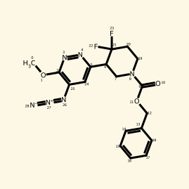 COc1nnc(C2CN(C(=O)OCc3ccccc3)CCC2(F)F)cc1N=[N+]=[N-]